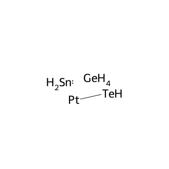 [GeH4].[SnH2].[TeH][Pt]